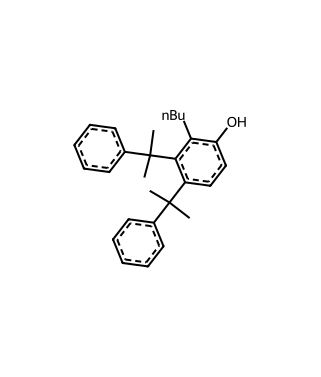 CCCCc1c(O)ccc(C(C)(C)c2ccccc2)c1C(C)(C)c1ccccc1